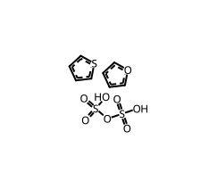 O=S(=O)(O)OS(=O)(=O)O.c1ccoc1.c1ccsc1